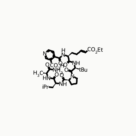 CCOC(=O)/C=C/CC[C@H](NC(=O)c1ccncc1C(=O)O)C(=O)N[C@H](C(=O)N1CCC[C@H]1C(=O)N[C@@H](CC(C)C)C(=O)N[C@@H](C)C(N)=O)C(C)(C)C